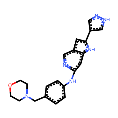 c1cc(Nc2cc3[nH]c(-c4cn[nH]c4)cc3cn2)ccc1CN1CCOCC1